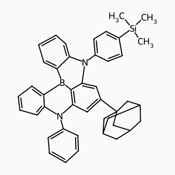 C[Si](C)(C)c1ccc(N2c3ccccc3B3c4ccccc4N(c4ccccc4)c4cc(C56CC7CC(CC(C7)C5)C6)cc2c43)cc1